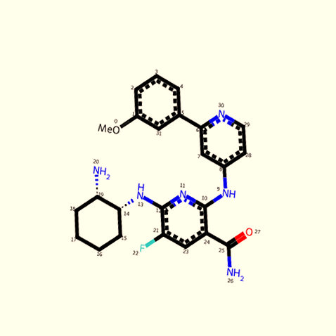 COc1cccc(-c2cc(Nc3nc(N[C@@H]4CCCC[C@@H]4N)c(F)cc3C(N)=O)ccn2)c1